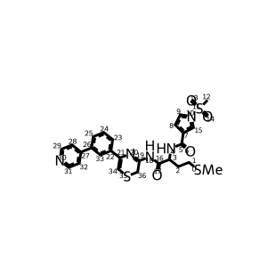 CSCCC(NC(=O)c1ccn(S(C)(=O)=O)c1)C(=O)NC1=NC(c2cccc(-c3ccncc3)c2)=CSC1